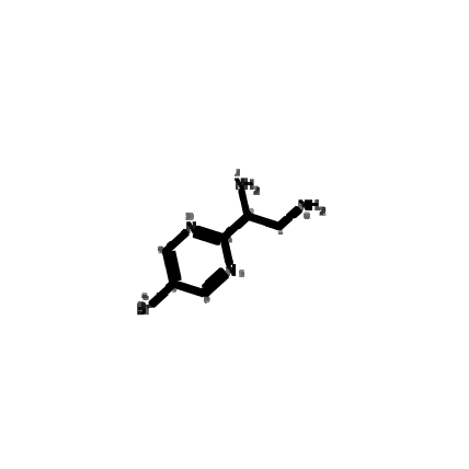 NCC(N)c1ncc(Br)cn1